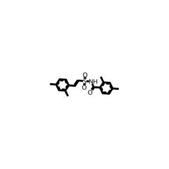 Cc1ccc(C=CS(=O)(=O)NC(=O)c2ccc(C)cc2C)c(C)c1